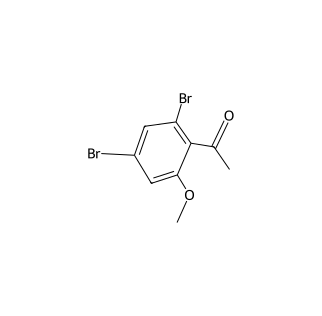 COc1cc(Br)cc(Br)c1C(C)=O